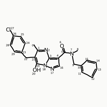 Cc1nc2c(C(=O)N(C)Cc3ccccc3)cnn2c(O)c1Cc1ccc(Cl)cc1